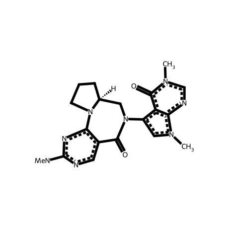 CNc1ncc2c(n1)N1CCC[C@H]1CN(c1cn(C)c3ncn(C)c(=O)c13)C2=O